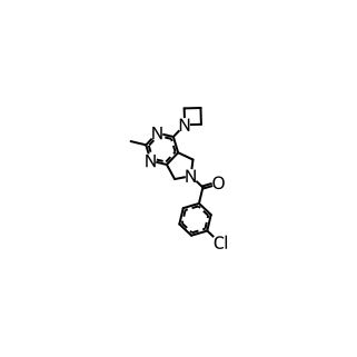 Cc1nc2c(c(N3CCC3)n1)CN(C(=O)c1cccc(Cl)c1)C2